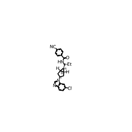 CC[C@@H](NC(=O)c1ccc(C#N)cc1)[C@H]1[C@@H]2C[C@@H](n3cnc4ccc(Cl)cc43)C[C@@H]21